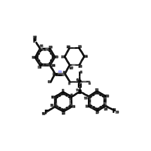 C/C(=C(\C[PH](C)(C)B(c1ccc(F)cc1)c1ccc(F)cc1)C1CCCCC1)c1ccc(F)cc1